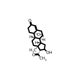 CC(=O)[C@H]1C(O)C[C@H]2[C@@H]3CCC4=CC(=O)CC[C@]4(C)[C@H]3CC[C@]12C